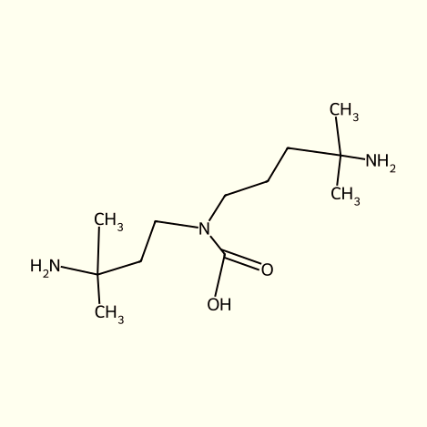 CC(C)(N)CCCN(CCC(C)(C)N)C(=O)O